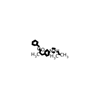 CC(C)C[n+]1ccn(-c2ccc(CC(C)C(=O)OCc3ccccc3)cc2)c1